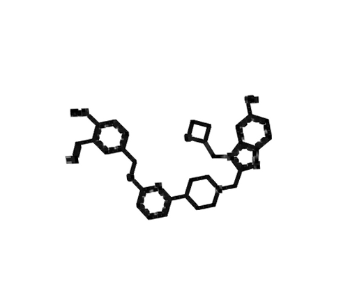 CNc1ccc(COc2cccc(C3CCN(Cc4nc5ccc(C(C)(C)C)cc5n4CC4CCO4)CC3)n2)cc1C=N